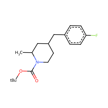 CC1CC(Cc2ccc(F)cc2)CCN1C(=O)OC(C)(C)C